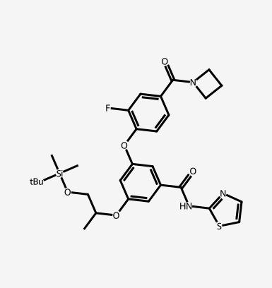 CC(CO[Si](C)(C)C(C)(C)C)Oc1cc(Oc2ccc(C(=O)N3CCC3)cc2F)cc(C(=O)Nc2nccs2)c1